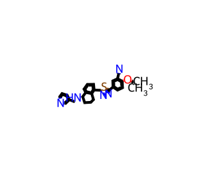 CC(C)Oc1ccc(-c2nnc(-c3cccc4c3CCC[C@@H]4NCc3cccnc3)s2)cc1C#N